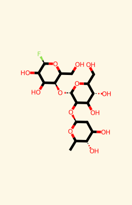 CC1O[C@@H](OC2C(O)[C@@H](O)C(CO)O[C@H]2O[C@@H]2C(CO)O[C@H](F)C(O)C2O)CC(O)[C@@H]1O